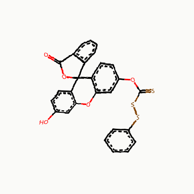 O=C1OC2(c3ccc(O)cc3Oc3cc(OC(=S)SSc4ccccc4)ccc32)c2ccccc21